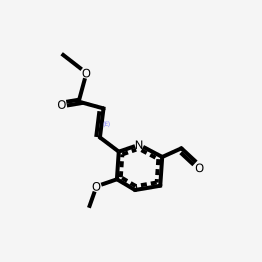 COC(=O)/C=C/c1nc(C=O)ccc1OC